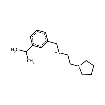 CC(C)c1cccc(CNCCN2CCCC2)c1